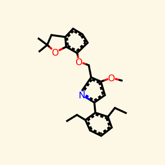 CCc1cccc(CC)c1-c1cc(OC)c(COc2cccc3c2OC(C)(C)C3)cn1